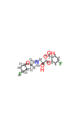 O=C(O)c1ccc(F)cc1OC[C@@H](O)CN1CCC2(CC1)Cc1cc(F)ccc1O2